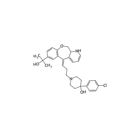 CC(C)(O)c1ccc2c(c1)/C(=C/CCN1CCC(O)(c3ccc(Cl)cc3)CC1)C1=CC=CNC1CO2